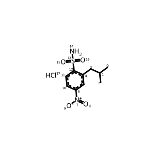 CC(C)Cc1cc([N+](=O)[O-])ccc1S(N)(=O)=O.Cl